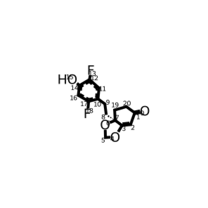 O=C1C=C2OCO[C@@]2(CCc2cc(F)c(O)cc2F)CC1